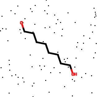 [O]CCCCCCCCO